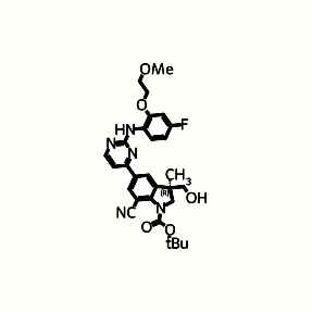 COCCOc1cc(F)ccc1Nc1nccc(-c2cc(C#N)c3c(c2)[C@@](C)(CO)CN3C(=O)OC(C)(C)C)n1